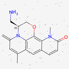 C=C1C=C(C)c2cc3ccc(=O)n(C)c3c3c2N1[C@@H](CN)CO3